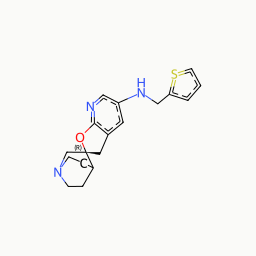 c1csc(CNc2cnc3c(c2)C[C@@]2(CN4CCC2CC4)O3)c1